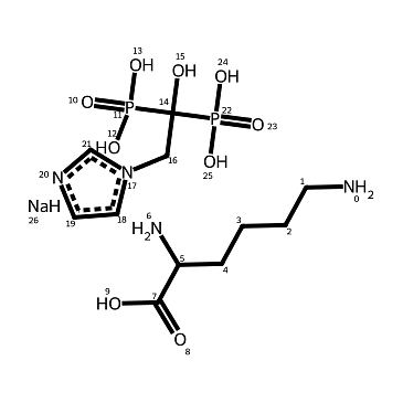 NCCCCC(N)C(=O)O.O=P(O)(O)C(O)(Cn1ccnc1)P(=O)(O)O.[NaH]